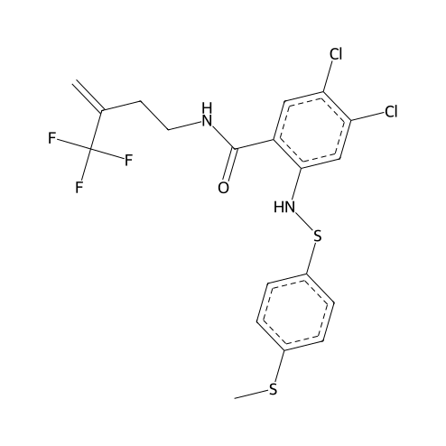 C=C(CCNC(=O)c1cc(Cl)c(Cl)cc1NSc1ccc(SC)cc1)C(F)(F)F